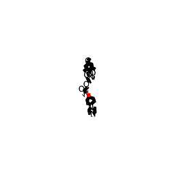 COc1cc(C)c(S(=O)(=O)N(C)CCOCC(=O)N(C)CC2CCC(N3CCN(C)CC3)CC2)c(C)c1